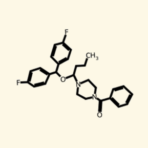 CCCC(OC(c1ccc(F)cc1)c1ccc(F)cc1)N1CCN(C(=O)c2ccccc2)CC1